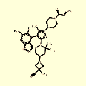 C=CC(=O)N1CCC(n2nc(N3CCC(N4CC(C)(C#N)C4)CC3(C)C)c(-c3c(Cl)c(C)cc4[nH]ncc34)c2C)CC1